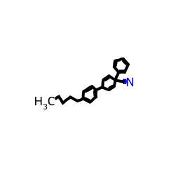 CCCCCc1ccc(C2C=CC(C#N)(c3ccccc3)C=C2)cc1